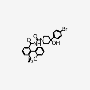 C=Cc1cccc(C(=O)NC(=O)N2CCC(O)(c3ccc(Br)cc3)CC2)c1-c1ccccc1C(F)(F)F